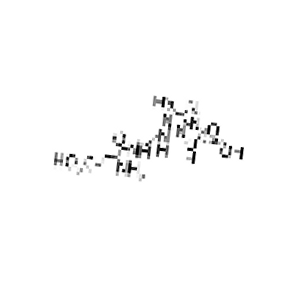 NC(CCC(=O)O)C(=O)NCCCNc1nc(S)c2ncn([C@@H]3O[C@H](CO)CC3O)c2n1